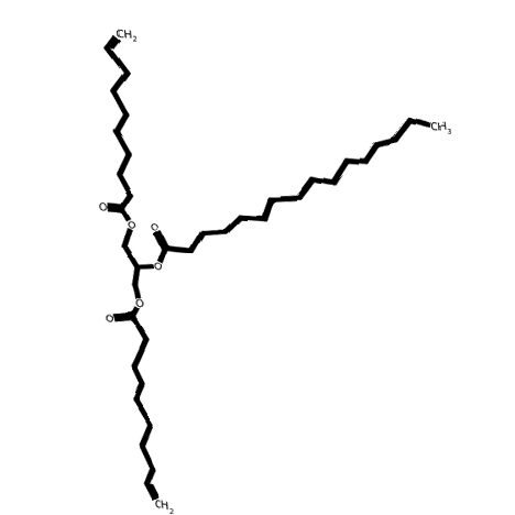 C=CCCCCCCCC(=O)OCC(COC(=O)CCCCCCCC=C)OC(=O)CCCCCCCCCCCCCCC